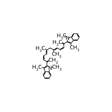 C=C(/C=C\C=C(/C)C/C(C)=C/C=C\C(=C)c1c(C)c2ccccc2n1C)c1c(C)c2ccccc2n1C